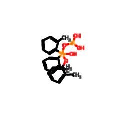 Cc1ccccc1OP(O)(OP(O)O)(c1ccccc1C)c1ccccc1C